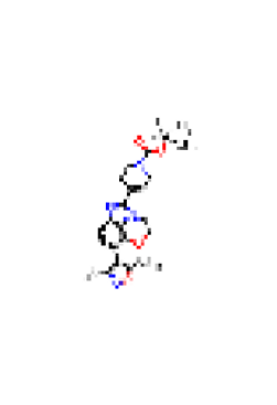 Cc1noc(C)c1-c1ccc2nc(C3=CCN(C(=O)OC(C)(C)C)CC3)n3c2c1OCC3